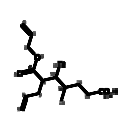 C=CCOC(=O)C(CC=C)C(CC)C(C)CCC(=O)O